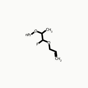 C=CCOC(F)C(C)OCCC